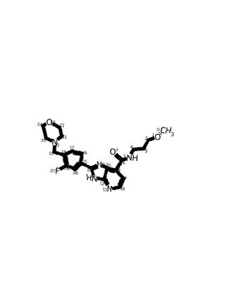 COCCCNC(=O)c1ccnc2[nH]c(-c3ccc(CN4CCOCC4)c(F)c3)nc12